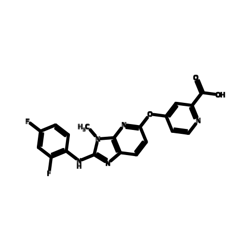 Cn1c(Nc2ccc(F)cc2F)nc2ccc(Oc3ccnc(C(=O)O)c3)nc21